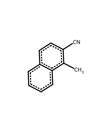 Cc1c(C#N)ccc2ccccc12